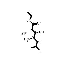 CCOC(=O)C[C@H](O)[C@@H](N)CC(C)C.Cl